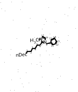 CCCCCCCCCCCCCCCCc1n(Cc2ccccc2)cc[n+]1C